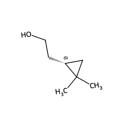 CC1(C)C[C@H]1CCO